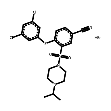 Br.CC(C)N1CCN(S(=O)(=O)c2cc(C#N)ccc2Sc2cc(Cl)cc(Cl)c2)CC1